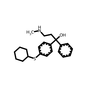 CNCCC(O)(c1ccccc1)c1ccc(SC2CCCCC2)cc1